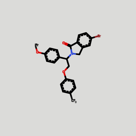 CC(C)Oc1ccc(C(COc2ccc(C(F)(F)F)cc2)N2Cc3cc(Br)ccc3C2=O)cc1